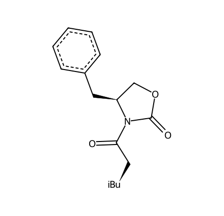 CC[C@H](C)CC(=O)N1C(=O)OC[C@@H]1Cc1ccccc1